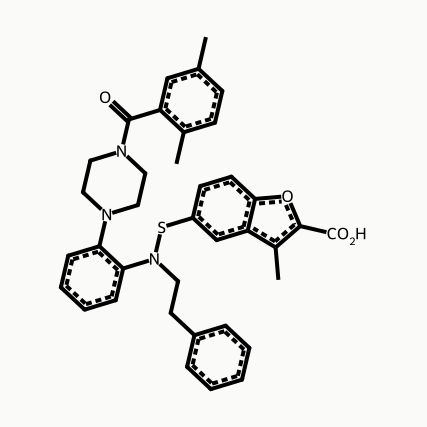 Cc1ccc(C)c(C(=O)N2CCN(c3ccccc3N(CCc3ccccc3)Sc3ccc4oc(C(=O)O)c(C)c4c3)CC2)c1